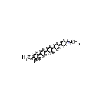 C/C=C/C1CCC(C2CCC(c3ccc(-c4ccc(-c5ccc(CC)c(F)c5F)cc4)cc3F)CC2)CC1